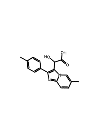 Cc1ccc(-c2nc3ccc(C)cn3c2C(O)C(=O)O)cc1